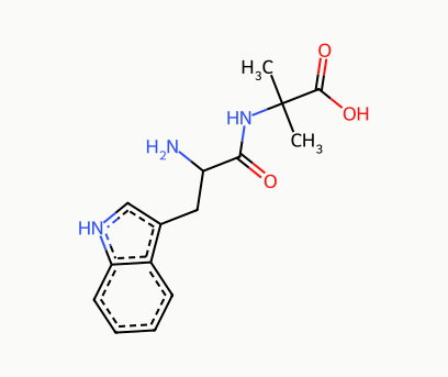 CC(C)(NC(=O)C(N)Cc1c[nH]c2ccccc12)C(=O)O